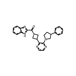 O=C(c1nc2ccccc2[nH]1)N1CC(c2nccnc2N2CCC(c3ccccc3)C2)C1